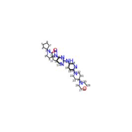 O=C1N(C2CCCC2)CCC12Cc1cnc(Nc3ccc(N4CCC(N5CCOCC5)CC4)nc3)nc1N2